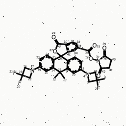 CC1(F)CN(c2ccc3c(c2)C(C)(C)c2cc(N4CC(F)(F)C4)ccc2C32OC(=O)c3ccc(C(=O)ON4C(=O)CCC4=O)cc32)C1